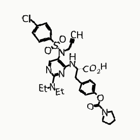 C#CCN(c1cnc(N(CC)CC)nc1N[C@@H](Cc1ccc(OC(=O)N2CCCC2)cc1)C(=O)O)S(=O)(=O)c1ccc(Cl)cc1